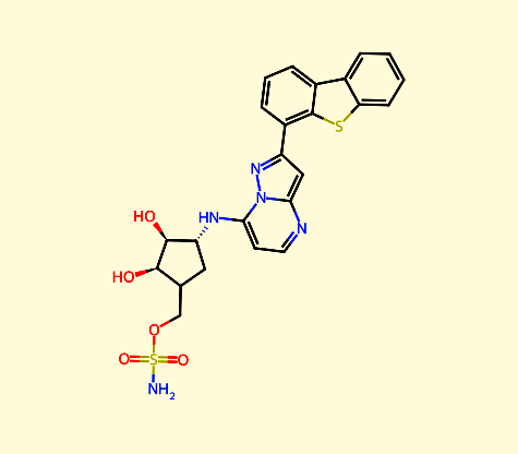 NS(=O)(=O)OCC1C[C@@H](Nc2ccnc3cc(-c4cccc5c4sc4ccccc45)nn23)[C@H](O)[C@@H]1O